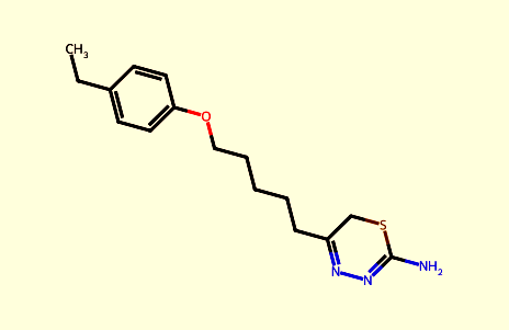 CCc1ccc(OCCCCCC2=NN=C(N)SC2)cc1